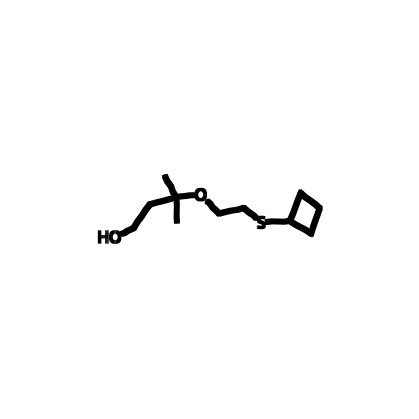 CC(C)(CCO)OCCSC1CCC1